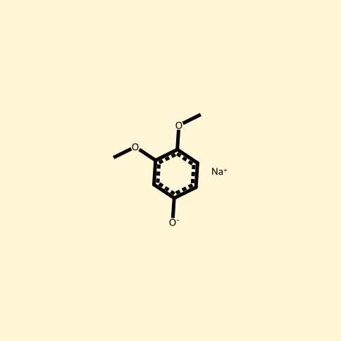 COc1ccc([O-])cc1OC.[Na+]